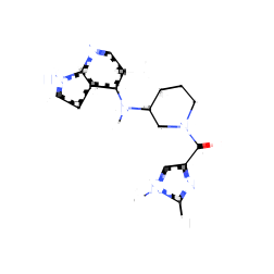 Cc1nc(C(=O)N2CC[C@@H](C)C(N(C)c3ccnc4[nH]ccc34)C2)cn1C